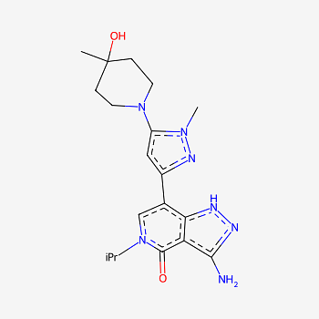 CC(C)n1cc(-c2cc(N3CCC(C)(O)CC3)n(C)n2)c2[nH]nc(N)c2c1=O